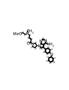 COCCN(C)C/C=C/C(=O)N1CC[C@@H](n2nc(-c3ccc(Oc4ccccc4)cc3)c3c(N)ncnc32)C1